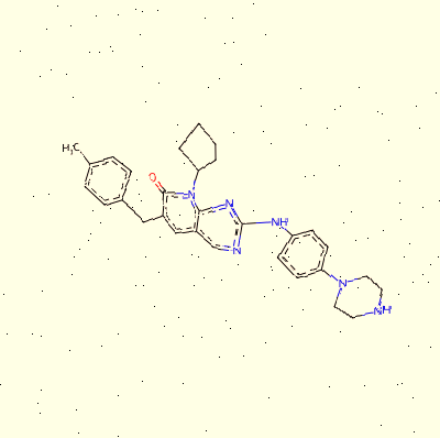 Cc1ccc(Cc2cc3cnc(Nc4ccc(N5CCNCC5)cc4)nc3n(C3CCCC3)c2=O)cc1